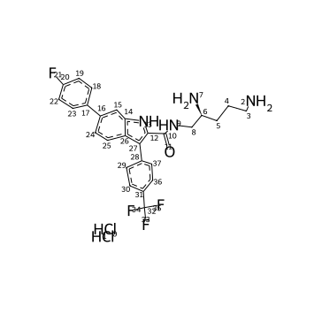 Cl.Cl.NCCC[C@H](N)CNC(=O)c1[nH]c2cc(-c3ccc(F)cc3)ccc2c1-c1ccc(C(F)(F)F)cc1